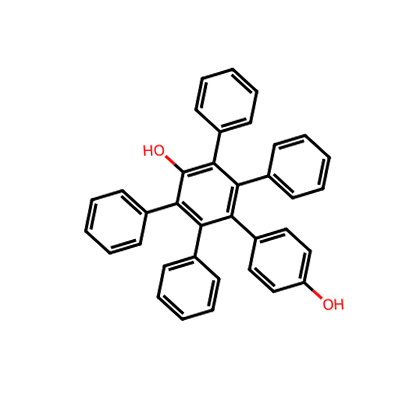 Oc1ccc(-c2c(-c3ccccc3)c(-c3ccccc3)c(O)c(-c3ccccc3)c2-c2ccccc2)cc1